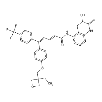 CCC1(COc2ccc(/C(=C\C=C\C(=O)Nc3cccc4c3CC(O)C(=O)N4)c3ccc(C(F)(F)F)cc3)cc2)COC1